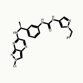 CCn1cc2ncc(N[C@@H](C)c3cccc(NC(=O)Nc4cnn(CC(C)C)c4)c3)nc2n1